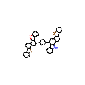 c1ccc2c(c1)[nH]c1c3ccc4c5ccccc5sc4c3cc(-c3ccc(-c4cc5c(ccc6c7ccccc7sc65)c5oc6ccccc6c45)cc3)c21